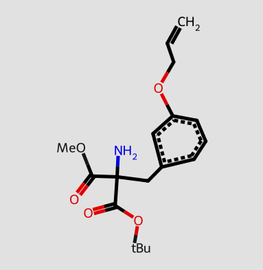 C=CCOc1cccc(CC(N)(C(=O)OC)C(=O)OC(C)(C)C)c1